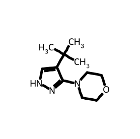 CC(C)(C)c1c[nH]nc1N1CCOCC1